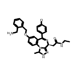 CCNC(=O)C[C@@H]1N=C(c2ccc(Cl)cc2)c2cc(OCc3ccccc3CN)ccc2N2C1=NNC2C